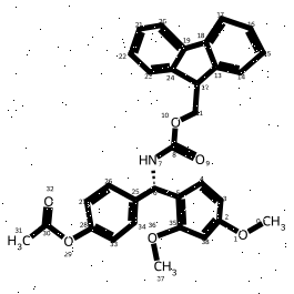 COc1ccc([C@@H](NC(=O)OCC2c3ccccc3-c3ccccc32)c2ccc(OC(C)=O)cc2)c(OC)c1